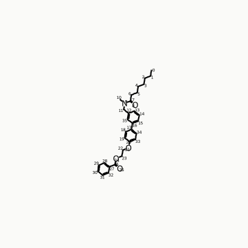 CCCCCCCC(=O)N(C)Cc1cccc(-c2ccc(OCCOC(=O)c3ccccc3)cc2)c1